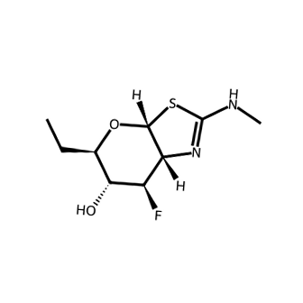 CC[C@H]1O[C@@H]2SC(NC)=N[C@@H]2[C@@H](F)[C@@H]1O